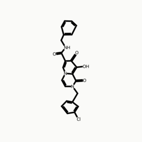 O=C(NCc1ccccc1)c1cn2ccn(Cc3cccc(Cl)c3)c(=O)c2c(O)c1=O